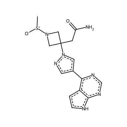 C[S+]([O-])N1CC(CC(N)=O)(n2cc(-c3ncnc4[nH]ccc34)cn2)C1